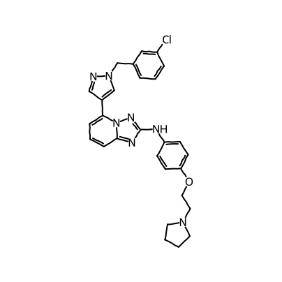 Clc1cccc(Cn2cc(-c3cccc4nc(Nc5ccc(OCCN6CCCC6)cc5)nn34)cn2)c1